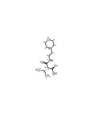 CC(C)[C@@H](C(=O)O)C(=O)NCCN1CCOCC1